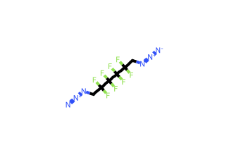 [N-]=[N+]=NCC(F)(F)C(F)(F)C(F)(F)C(F)(F)CN=[N+]=[N-]